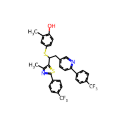 Cc1cc(SC(Cc2ccc(-c3ccc(C(F)(F)F)cc3)nc2)c2sc(-c3ccc(C(F)(F)F)cc3)nc2C)ccc1O